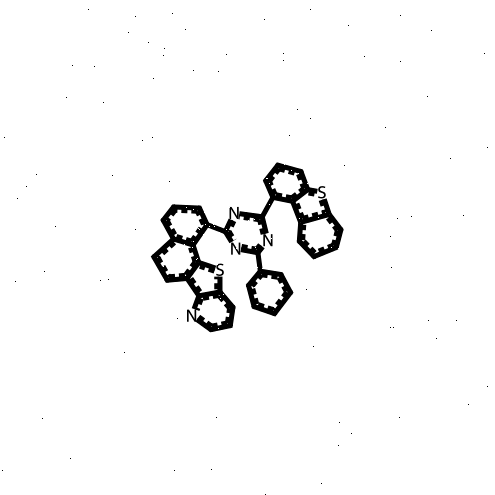 c1ccc(-c2nc(-c3cccc4sc5ccccc5c34)nc(-c3cccc4ccc5c6ncccc6sc5c34)n2)cc1